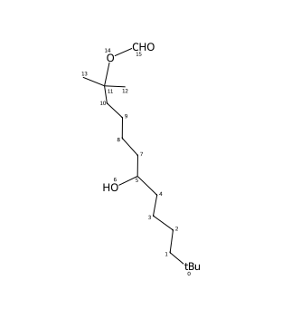 CC(C)(C)CCCCC(O)CCCCC(C)(C)OC=O